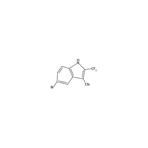 N#Cc1c(C(F)(F)F)[nH]c2ccc(Br)cc12